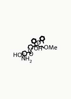 COCCCC[C@@](O)(c1ccccc1Oc1ccccc1C)C1CCCN(C(=O)C2CC[C@@H](O)[C@@H](N)C2)C1